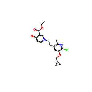 CCOC(=O)c1cn(CCc2cc(OCC3CC3)c(Cl)nc2C)ccc1=O